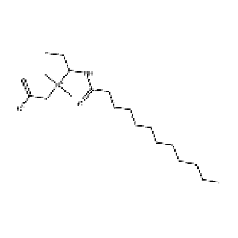 CCCCCCCCCCCC(=O)NC(CC)[N+](C)(C)CC(=O)[O-]